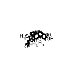 CC[C@]1(O)CC[C@@]2(C)C(=CC[C@H]3[C@@H]4CC[C@H](C(C)C(O)CC5(C)COC5)[C@@]4(C)CC[C@@H]32)C1